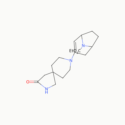 CCOC(=O)N1C2C=C(N3CCC4(CC3)CNC(=O)C4)CC1CC2